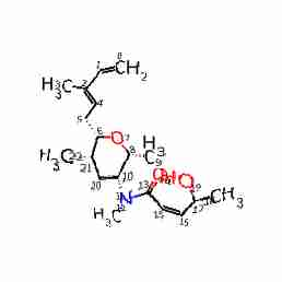 C=C/C(C)=C/C[C@@H]1O[C@H](C)[C@H](N(C)C(=O)/C=C\[C@H](C)O)C[C@@H]1C